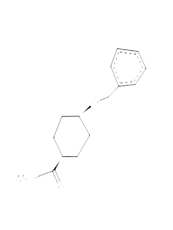 COC(=O)[C@H]1CC[C@@H](OCc2ccccc2)CC1